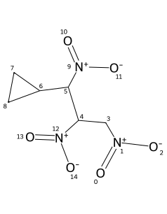 O=[N+]([O-])CC(C(C1CC1)[N+](=O)[O-])[N+](=O)[O-]